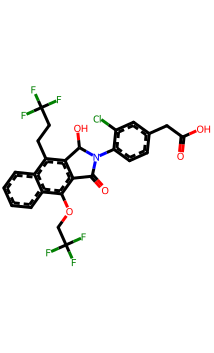 O=C(O)Cc1ccc(N2C(=O)c3c(c(CCC(F)(F)F)c4ccccc4c3OCC(F)(F)F)C2O)c(Cl)c1